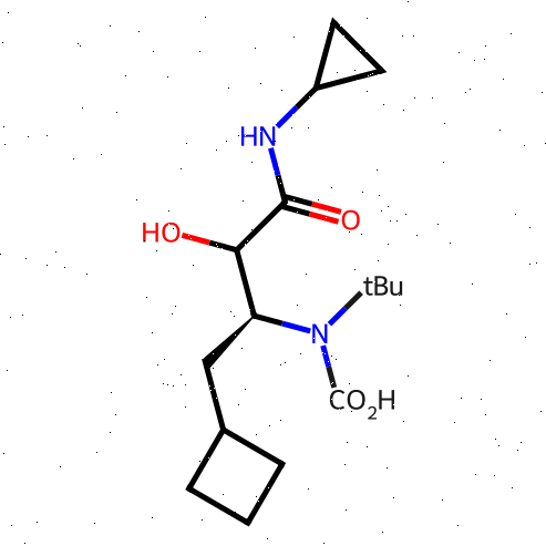 CC(C)(C)N(C(=O)O)[C@@H](CC1CCC1)C(O)C(=O)NC1CC1